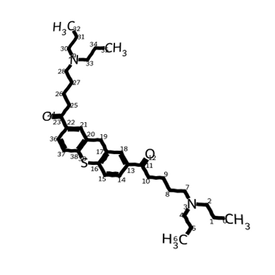 CCCN(CCC)CCCCC(=O)c1ccc2c(c1)Cc1cc(C(=O)CCCCN(CCC)CCC)ccc1S2